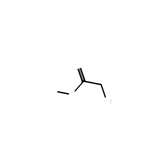 O=C(CO)S[S]